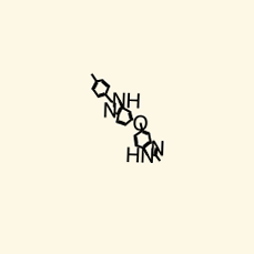 Cc1ccc(-c2nc3ccc(Oc4ccc5[nH]c(C)nc5c4)cc3[nH]2)cc1